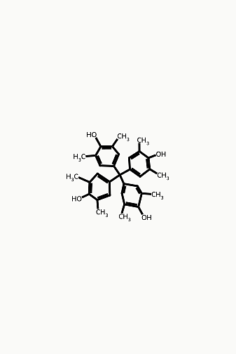 Cc1cc(C(c2cc(C)c(O)c(C)c2)(c2cc(C)c(O)c(C)c2)c2cc(C)c(O)c(C)c2)cc(C)c1O